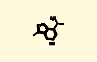 C[C@H](N)c1cccc2c1cnn2C.Cl